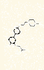 Cc1ccc(-c2ccc(OCCN3CCN(C)CC3)nc2)cc1NCC(C)C